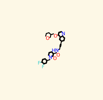 O=C(NCC#Cc1ccc2nccc(OCC3CCCOC3)c2c1)c1cccn(Cc2ccc(F)c(F)c2)c1=O